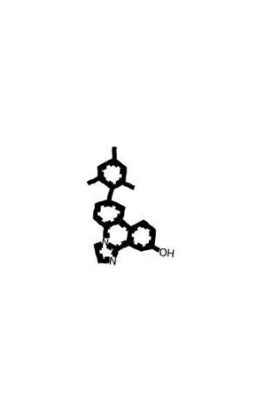 Cc1cc(C)c(-c2ccc3c(c2)c2ccc(O)cc2c2nccn32)c(C)c1